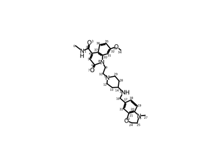 CNC(=O)c1cc(=O)n(CCN2CCC(NCc3ccc4c(c3)OCCN4C)CC2)c2cc(OC)ccc12